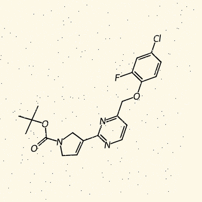 CC(C)(C)OC(=O)N1CC=C(c2nccc(COc3ccc(Cl)cc3F)n2)C1